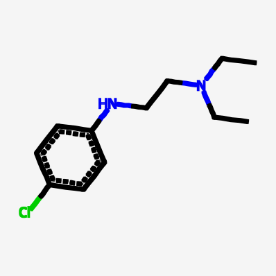 CCN(CC)CCNc1ccc(Cl)cc1